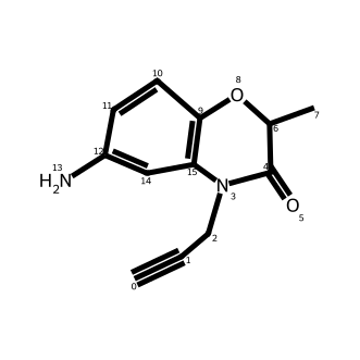 C#CCN1C(=O)C(C)Oc2ccc(N)cc21